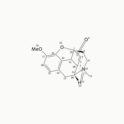 C=C[C@]12C=CC(=O)[C@]34CCN(C)[C@@H]1Cc1ccc(OC)c(c1C23)O4